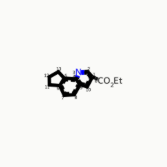 CCOC(=O)c1cnc2c3c(ccc2c1)CCC3